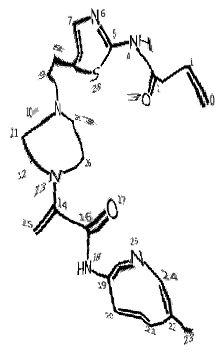 C=CC(=O)Nc1ncc(CN2CCN(C(=C)C(=O)Nc3ccc(C)cn3)CC2)s1